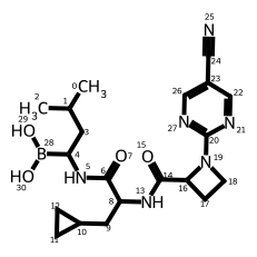 CC(C)CC(NC(=O)C(CC1CC1)NC(=O)C1CCN1c1ncc(C#N)cn1)B(O)O